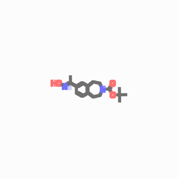 C/C(=N\O)c1ccc2c(c1)CCN(C(=O)OC(C)(C)C)CC2